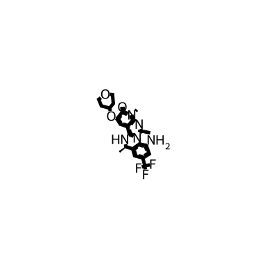 Cc1nc(N[C@H](C)c2cc(N)cc(C(F)(F)F)c2)c2cc(OC3CCOCC3)c(=O)n(C)c2n1